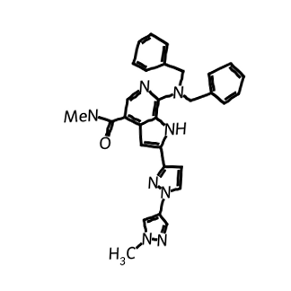 CNC(=O)c1cnc(N(Cc2ccccc2)Cc2ccccc2)c2[nH]c(-c3ccn(-c4cnn(C)c4)n3)cc12